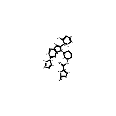 O=C(N[C@H]1CCC[C@@H](n2c(-c3ncccc3F)nc3cnc(-n4ccnn4)cc32)C1)c1ncc(Br)s1